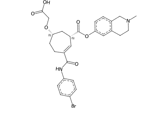 CN1CCc2cc(OC(=O)[C@@H]3C=C(C(=O)Nc4ccc(Br)cc4)CC[C@H](OCC(=O)O)C3)ccc2C1